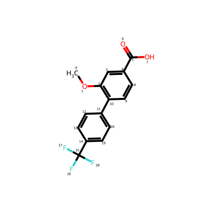 COc1cc(C(=O)O)ccc1-c1ccc(C(F)(F)F)cc1